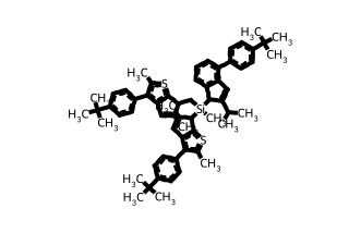 CC1=Cc2c(sc(C)c2-c2ccc(C(C)(C)C)cc2)C1C[Si](C)(C1C(C(C)C)=Cc2c(-c3ccc(C(C)(C)C)cc3)cccc21)C1C(C)=Cc2c1sc(C)c2-c1ccc(C(C)(C)C)cc1